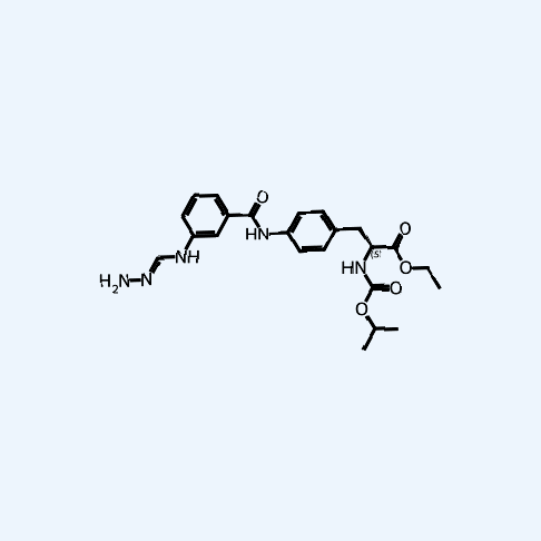 CCOC(=O)[C@H](Cc1ccc(NC(=O)c2cccc(NC=NN)c2)cc1)NC(=O)OC(C)C